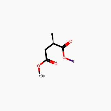 C[C@H](CC(=O)OC(C)(C)C)C(=O)OI